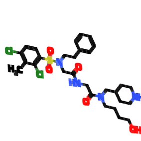 Cc1c(Cl)ccc(S(=O)(=O)N(CCc2ccccc2)CC(=O)NCC(=O)N(CCCCO)CC2CCNCC2)c1Cl